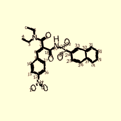 CCN(CC)C(=O)/C(=C/c1ccc([N+](=O)[O-])cc1)C(=O)NS(=O)(=O)c1ccc2ccccc2c1